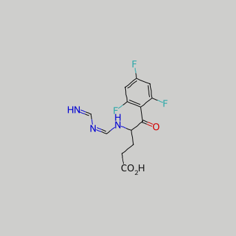 N=C/N=C\NC(CCC(=O)O)C(=O)c1c(F)cc(F)cc1F